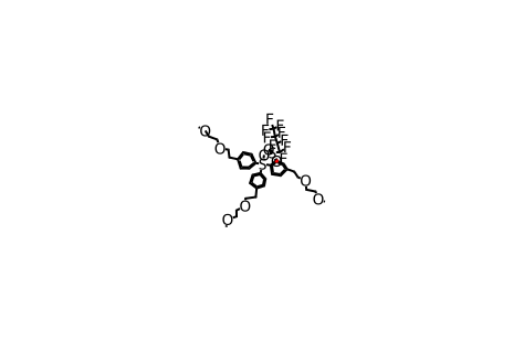 COCCOCCc1ccc(S(OS(=O)(=O)C(F)(F)C(F)(F)C(F)(F)C(F)(F)F)(c2ccc(CCOCCOC)cc2)c2ccc(CCOCCOC)cc2)cc1